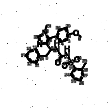 COc1ccc(-c2c(C(Cc3ccccc3)NC(=O)NS(=O)(=O)c3ccccc3C)ncn2C)cc1